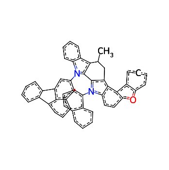 CC1Cc2c(n(-c3cccc4ccccc34)c3ccc4oc5ccccc5c4c23)-c2c1c1ccccc1n2-c1cc2c3c(cccc3c1)-c1ccccc1-2